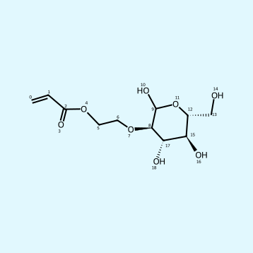 C=CC(=O)OCCO[C@H]1C(O)O[C@H](CO)[C@@H](O)[C@@H]1O